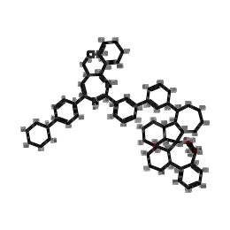 CCC1C=C(c2ccc(C3CCCCC3)cc2)N=C(c2cccc(C3=CC(C4CCCCC5C4C4CCCCC4C54c5ccccc5-c5ccccc5C5CCCCC54)CC=C3)c2)N=C1C1=CCCC=C1